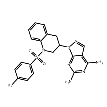 CCc1ccc(S(=O)(=O)N2CC(n3ncc4c(N)nc(N)nc43)Cc3ccccc32)cc1